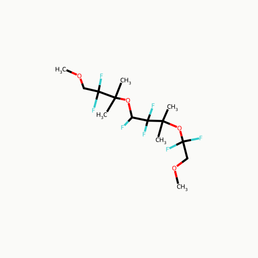 COCC(F)(F)OC(C)(C)C(F)(F)C(F)OC(C)(C)C(F)(F)COC